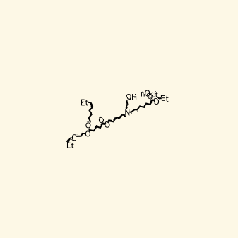 CC/C=C\CCCCOC(CCCC(=O)OCCCCCCN(CCCO)CCCCCCCC(=O)OC(CC)CCCCCCCC)OCCCC/C=C\CC